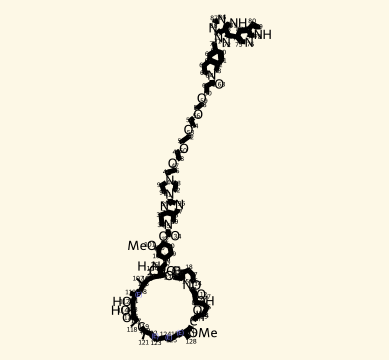 CO[C@H]1C[C@@H]2CC[C@@H](C)[C@@](O)(O2)C(=O)C(=O)N2CCCC[C@H]2C(=O)O[C@H]([C@H](N)C[C@@H]2CC[C@@H](OC(=O)N3CCc4nc(N5CCN(CCOCCOCCOCCOCCOCCC(=O)N6CCc7cc(Cn8nc(-c9cnc%10[nH]ccc%10c9)c9c(N)ncnc98)ccc7C6)CC5)ncc4C3)[C@H](OC)C2)C(C=O)C[C@H](C)/C=C(\C)[C@@H](O)[C@@H](O)C(=O)[C@H](C)C[C@H](C)/C=C/C=C/C=C/1C